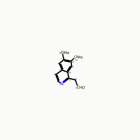 COc1cc2ccnc(CC=O)c2cc1OC